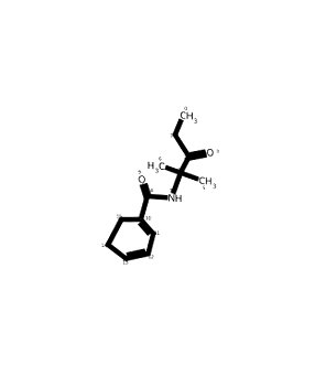 CCC(=O)C(C)(C)NC(=O)C1=CC=CCC1